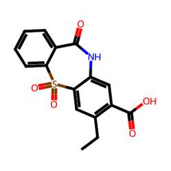 CCc1cc2c(cc1C(=O)O)NC(=O)c1ccccc1S2(=O)=O